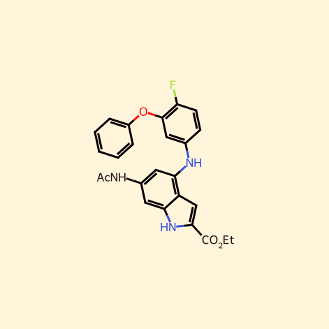 CCOC(=O)c1cc2c(Nc3ccc(F)c(Oc4ccccc4)c3)cc(NC(C)=O)cc2[nH]1